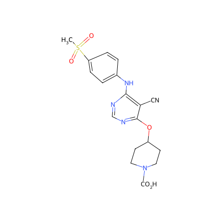 CS(=O)(=O)c1ccc(Nc2ncnc(OC3CCN(C(=O)O)CC3)c2C#N)cc1